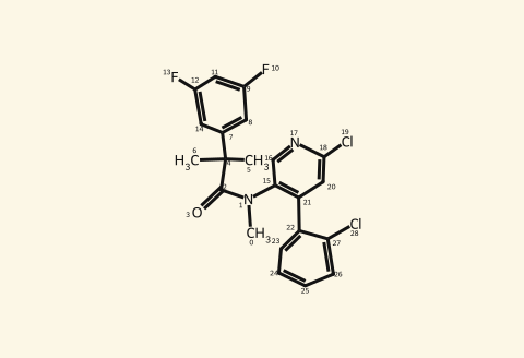 CN(C(=O)C(C)(C)c1cc(F)cc(F)c1)c1cnc(Cl)cc1-c1ccccc1Cl